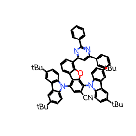 CC(C)(C)c1ccc2c(c1)c1cc(C(C)(C)C)ccc1n2-c1c(C#N)cc(-n2c3ccc(C(C)(C)C)cc3c3cc(C(C)(C)C)ccc32)c2c1oc1c(-c3cc(-c4ccccc4)nc(-c4ccccc4)n3)cccc12